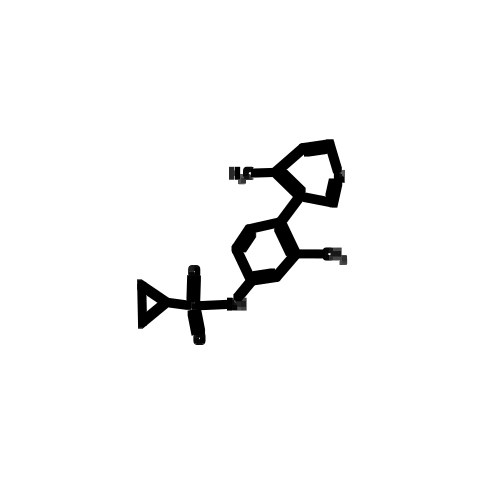 Cc1cc(NS(=O)(=O)C2CC2)ccc1-c1cnccc1C